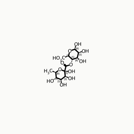 C[C@H]1O[C@](O)(C(=O)O[C@H]2[C@H](O)[C@H](O)[C@H](O)O[C@@H]2C(=O)O)[C@@H](O)[C@@H](O)[C@@H]1O